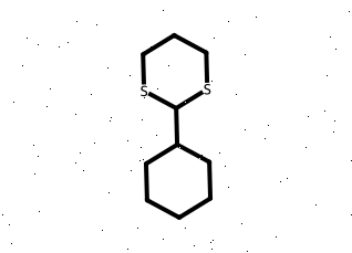 C1CCC(C2SCCCS2)CC1